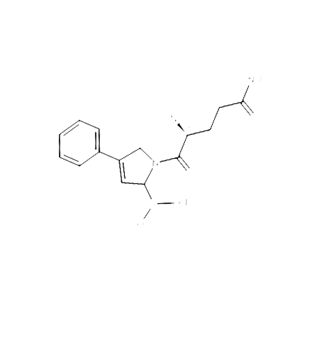 NC(=O)CC[C@H](N)C(=O)N1CC(c2ccccc2)=CC1B(O)O